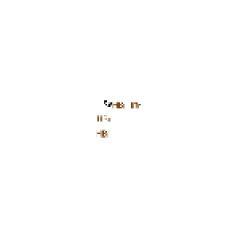 Br.Br.Br.Br.[Se]